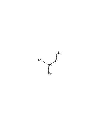 CCCCO[N+](C(C)C)C(C)C